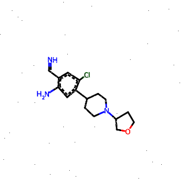 N=Cc1cc(Cl)c(C2CCN(C3CCOC3)CC2)cc1N